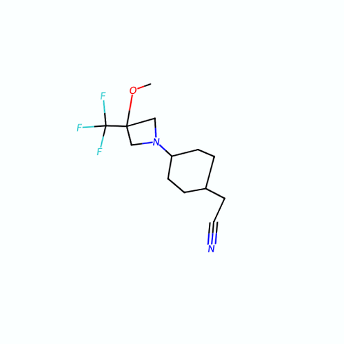 COC1(C(F)(F)F)CN(C2CCC(CC#N)CC2)C1